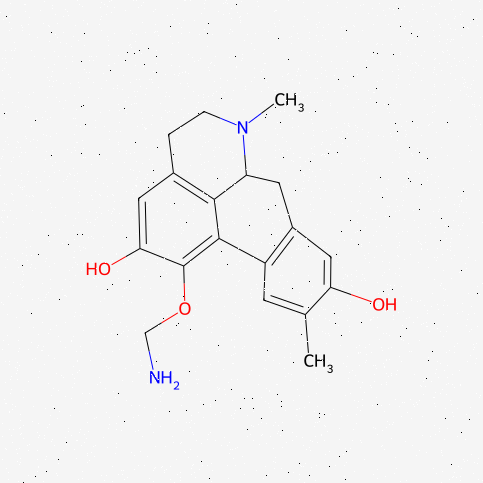 Cc1cc2c(cc1O)CC1c3c(cc(O)c(OCN)c3-2)CCN1C